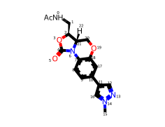 CC(=O)NC[C@@H]1OC(=O)N2c3ccc(-c4cnn(C)c4)cc3OC[C@@H]12